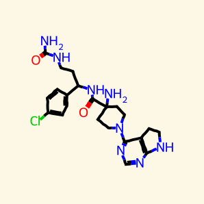 NC(=O)NCCC(NC(=O)C1(N)CCN(c2ncnc3c2CCN3)CC1)c1ccc(Cl)cc1